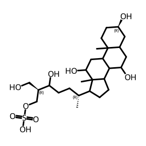 C[C@H](CCC(O)[C@H](CO)COS(=O)(=O)O)C1CCC2C3C(O)CC4C[C@H](O)CCC4(C)C3CC(O)C21C